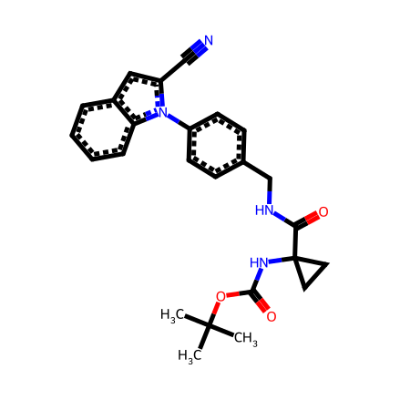 CC(C)(C)OC(=O)NC1(C(=O)NCc2ccc(-n3c(C#N)cc4ccccc43)cc2)CC1